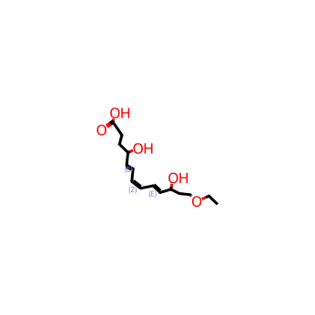 CCOCCC(O)/C=C/C=C\C=C\C(O)CCC(=O)O